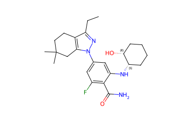 CCc1nn(-c2cc(F)c(C(N)=O)c(N[C@H]3CCCC[C@H]3O)c2)c2c1CCC(C)(C)C2